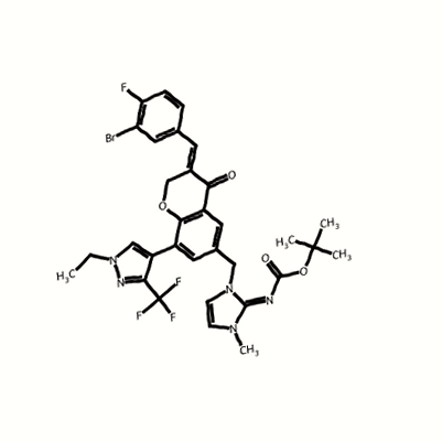 CCn1cc(-c2cc(Cn3ccn(C)/c3=N/C(=O)OC(C)(C)C)cc3c2OC/C(=C\c2ccc(F)c(Br)c2)C3=O)c(C(F)(F)F)n1